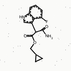 NC(=O)C(C(=O)OCC1CC1)c1c[nH]c2cccc(F)c12